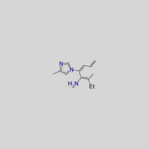 C=C/C=C(\C(N)=C(/C)CC)n1cnc(C)c1